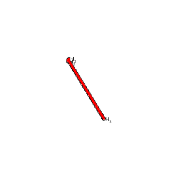 C=COC(CC)COCCOCCOCCOCCOCCOCCOCCOCCOCCOCCOCCOCCOCCOCCOCCOCCOCCOCCOCCOCCOCCOCCOCCOCCOCCOCCOCCOCCOCCOCCOCCOCCOCCOCCOCCOCCOCCOCCOCCOCCOCCOC